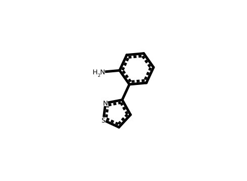 Nc1ccccc1-c1ccsn1